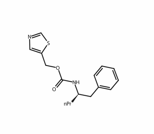 CCC[C@H](Cc1ccccc1)NC(=O)OCc1cncs1